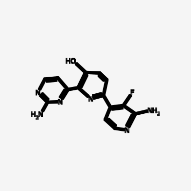 Nc1nccc(-c2nc(-c3ccnc(N)c3F)ccc2O)n1